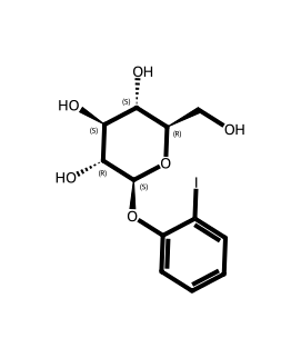 OC[C@H]1O[C@@H](Oc2ccccc2I)[C@H](O)[C@@H](O)[C@@H]1O